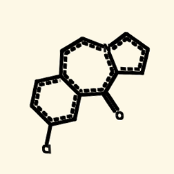 O=c1c2cc(Cl)ccc2ccn2cccc12